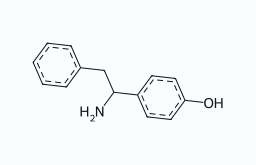 NC(Cc1ccccc1)c1ccc(O)cc1